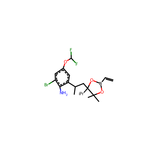 C=CB1OC(C)(C)C(CC(C)c2cc(OC(F)F)cc(Br)c2N)(C(C)C)O1